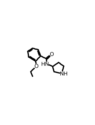 CCOc1ccccc1C(=O)NC1CCNC1